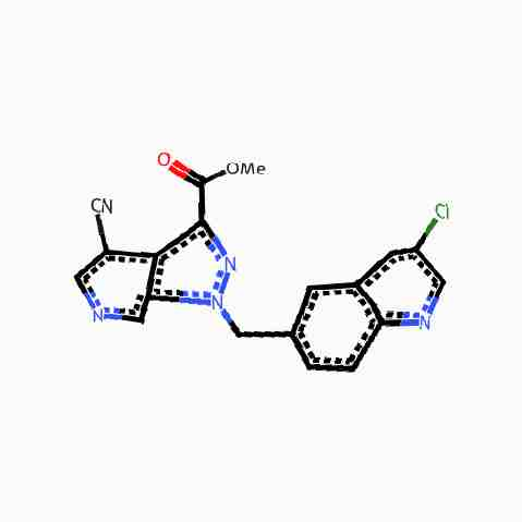 COC(=O)c1nn(Cc2ccc3ncc(Cl)cc3c2)c2cncc(C#N)c12